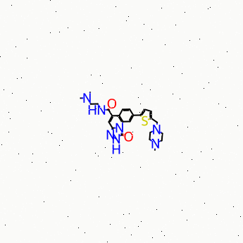 CN(C)CCNC(=O)c1cc2n[nH]c(=O)n2c2cc(-c3ccc(CN4CCN(C)CC4)s3)ccc12